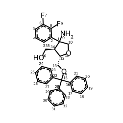 NC1(c2cccc(F)c2F)CO[C@H](COC(c2ccccc2)(c2ccccc2)c2ccccc2)[C@H]1CO